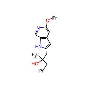 CC(C)CC(O)(Cc1cc2cc(OC(C)C)ncc2[nH]1)C(F)(F)F